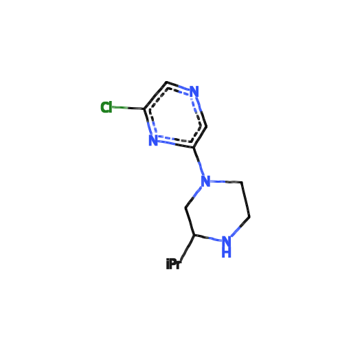 CC(C)C1CN(c2cncc(Cl)n2)CCN1